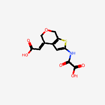 O=C(O)/C=C1\COCc2sc(NC(=O)C(=O)O)cc21